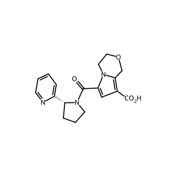 O=C(O)c1cc(C(=O)N2CCC[C@@H]2c2ccccn2)n2c1COCC2